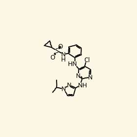 CC(C)n1ccc(Nc2ncc(Cl)c(Nc3ccccc3NS(=O)(=O)C3CC3)n2)n1